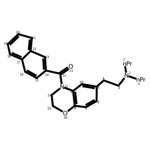 CCCN(CCC)CCc1ccc2c(c1)N(C(=O)c1ccc3ccccc3c1)CCO2